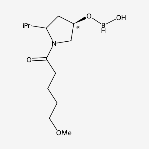 COCCCCC(=O)N1C[C@H](OBO)CC1C(C)C